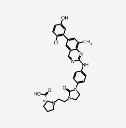 Cc1cc(-c2cc(O)ccc2Cl)cc2cnc(Nc3ccc(N4CCN(CCN5CCC[C@@H]5C(=O)O)C4=O)cc3)nc12